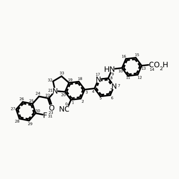 N#Cc1cc(-c2ccnc(Nc3ccc(C(=O)O)cc3)n2)cc2c1N(C(=O)Cc1ccccc1F)CC2